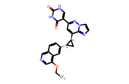 O=c1[nH]cc(-c2cc([C@H]3C[C@@H]3c3ccc4cncc(OCC(F)(F)F)c4c3)c3nccn3n2)c(=O)[nH]1